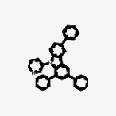 c1ccc(-c2ccc3c(c2)c2cc(-c4ccccc4)cc(-c4ccccc4)c2n3-c2cccnc2)cc1